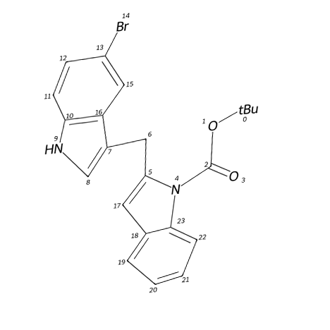 CC(C)(C)OC(=O)n1c(Cc2c[nH]c3ccc(Br)cc23)cc2ccccc21